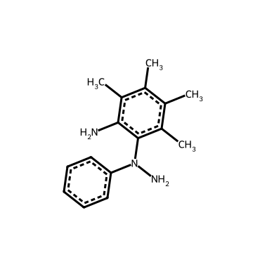 Cc1c(C)c(C)c(N(N)c2ccccc2)c(N)c1C